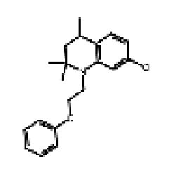 CC1CC(C)(C)N(CCOc2ccccc2)c2cc(Cl)ccc21